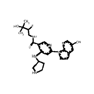 CC(C)(O)C(F)CNC(=O)c1cnc(-n2ccc3cc(C#N)cnc32)cc1NC1CCNC1